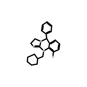 Clc1cccc2c1N(CC1CCCCC1)C1=NCCN1C2c1ccccc1